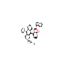 CC1C=Cc2c(c(-c3cccc4oc(-c5cccc6ccccc56)cc34)c3ccccc3c2-c2ccccc2)C1